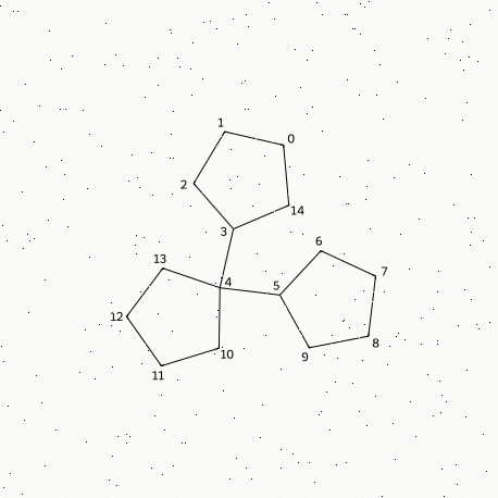 C1CCC(C2(C3CCCC3)CCCC2)C1